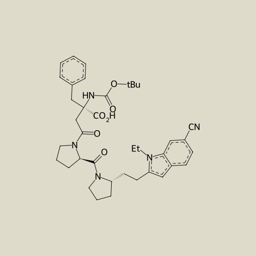 CCn1c(CC[C@@H]2CCCN2C(=O)[C@H]2CCCN2C(=O)C[C@@](Cc2ccccc2)(NC(=O)OC(C)(C)C)C(=O)O)cc2ccc(C#N)cc21